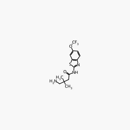 CC(C)(CN)CC(=O)Nc1nc2ccc(OC(F)(F)F)cc2s1